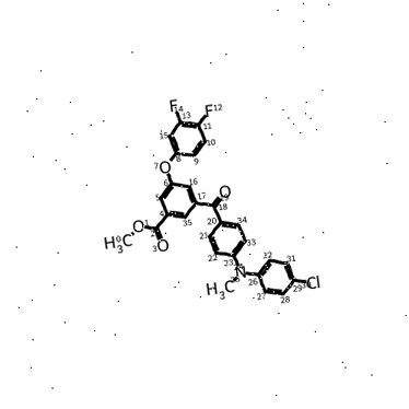 COC(=O)c1cc(Oc2ccc(F)c(F)c2)cc(C(=O)c2ccc(N(C)c3ccc(Cl)cc3)cc2)c1